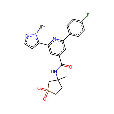 CC(C)n1nccc1-c1cc(C(=O)NC2(C)CCS(=O)(=O)C2)cc(-c2ccc(F)cc2)n1